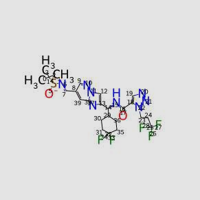 CC(C)(C)[S+]([O-])/N=C/c1cnn2cc([C@@H](NC(=O)c3cnnn3CCC(F)(F)F)C3CCC(F)(F)CC3)nc2c1